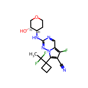 CC(F)(F)C1(c2c(C#N)c(F)c3cnc(N[C@@H]4CCOC[C@H]4O)nn23)CCC1